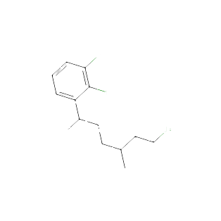 CC(CCBr)CCC(C(=O)O)c1cccc(Br)c1F